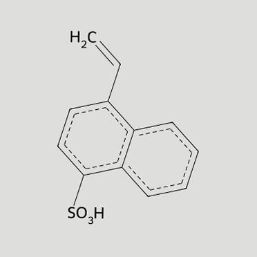 C=Cc1ccc(S(=O)(=O)O)c2ccccc12